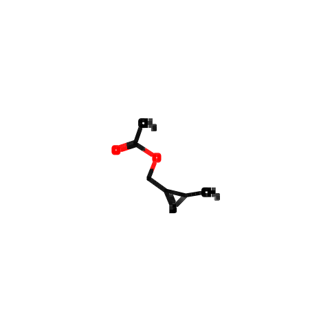 CC(=O)OCC1=BC1C